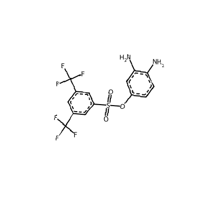 Nc1ccc(OS(=O)(=O)c2cc(C(F)(F)F)cc(C(F)(F)F)c2)cc1N